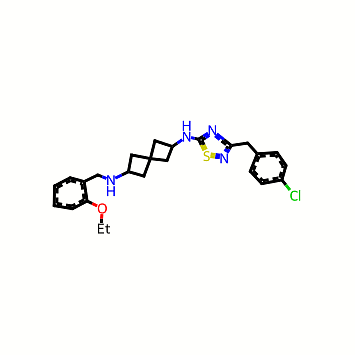 CCOc1ccccc1CNC1CC2(C1)CC(Nc1nc(Cc3ccc(Cl)cc3)ns1)C2